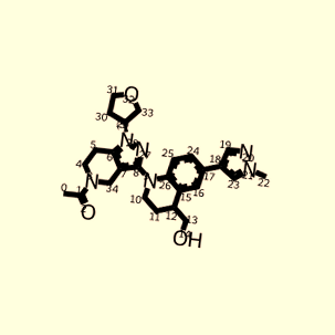 CC(=O)N1CCc2c(c(N3CCC(CO)c4cc(-c5cnn(C)c5)ccc43)nn2[C@H]2CCOC2)C1